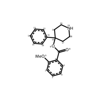 COc1ccccc1C(=O)OC1(c2ccccc2)CCNCC1